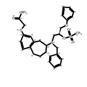 CS(=O)(=O)O[C@H](COc1ccccc1)CN(Cc1ccccc1)C1CCCc2ccc(OCC(N)=O)cc2C1